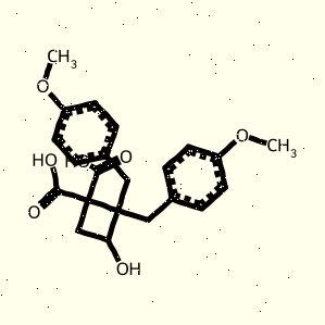 COc1ccc(CC2(Cc3ccc(OC)cc3)C(O)CC2(C(=O)O)C(=O)O)cc1